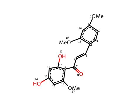 COc1ccc(C=CC(=O)c2c(O)cc(O)cc2OC)c(OC)c1